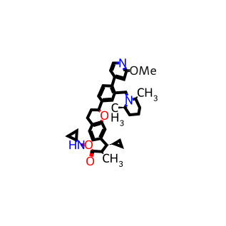 COc1cc(-c2ccc(C3CCc4ccc([C@H](C5CC5)[C@H](C)C(=O)ONC5CC5)cc4O3)cc2CN2[C@H](C)CCC[C@H]2C)ccn1